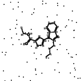 CCCCc1nc2ccccc2n1-c1csc(C(=O)OCC)c1